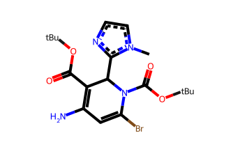 Cn1ccnc1C1C(C(=O)OC(C)(C)C)=C(N)C=C(Br)N1C(=O)OC(C)(C)C